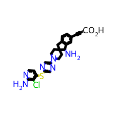 Nc1nccc(Sc2cnc(N3CCC4(CC3)Cc3ccc(C#CC(=O)O)cc3C4N)cn2)c1Cl